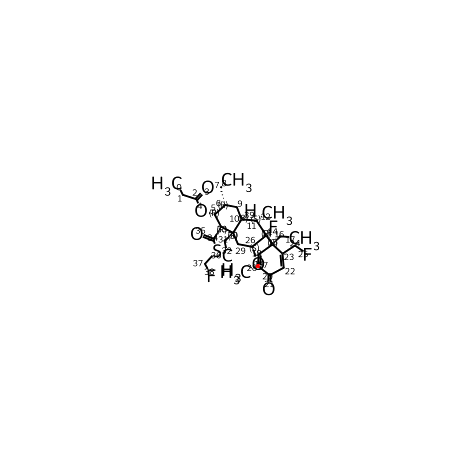 CCC(=O)O[C@@H]1[C@H](CC)C[C@H]2[C@H](C)[C@@](F)([C@@]3(CC)C=CC(=O)C=C3CF)[C@@H](OC)C[C@]2(CC)[C@H]1C(=O)SCF